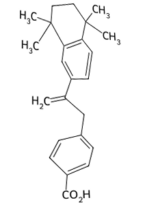 C=C(Cc1ccc(C(=O)O)cc1)c1ccc2c(c1)C(C)(C)CCC2(C)C